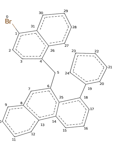 Brc1ccc(Cc2cc3ccccc3c3cccc(-c4ccccc4)c23)c2ccccc12